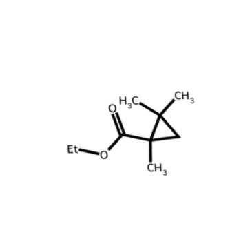 CCOC(=O)C1(C)CC1(C)C